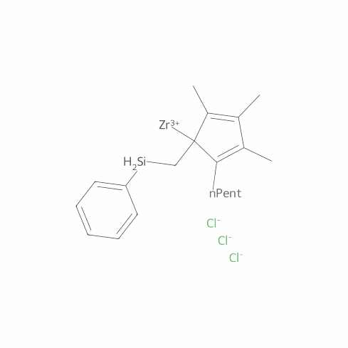 CCCCCC1=C(C)C(C)=C(C)[C]1([Zr+3])C[SiH2]c1ccccc1.[Cl-].[Cl-].[Cl-]